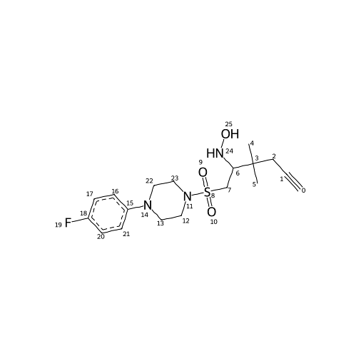 C#CCC(C)(C)C(CS(=O)(=O)N1CCN(c2ccc(F)cc2)CC1)NO